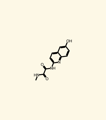 CNC(=O)C(=O)Nc1ccc2cc(O)ccc2n1